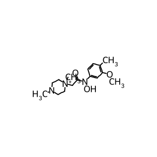 COc1cc(N(O)C(=O)C[N+]2(C)CCN(C)CC2)ccc1C